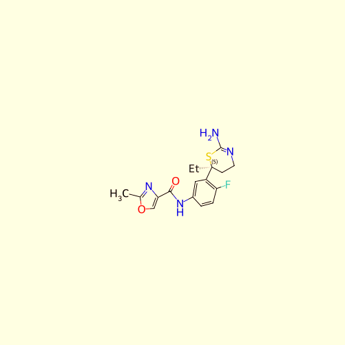 CC[C@@]1(c2cc(NC(=O)c3coc(C)n3)ccc2F)CCN=C(N)S1